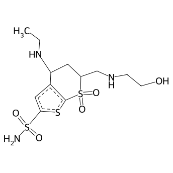 CCNC1CC(CNCCO)S(=O)(=O)c2sc(S(N)(=O)=O)cc21